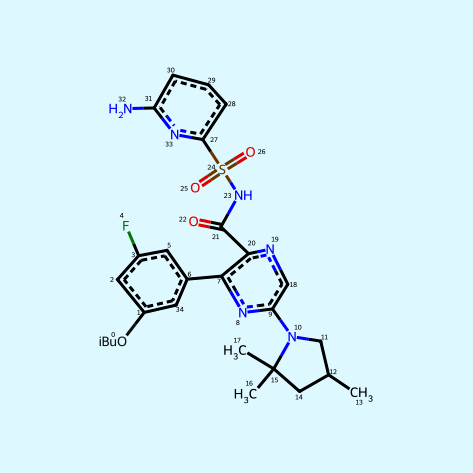 CC(C)COc1cc(F)cc(-c2nc(N3CC(C)CC3(C)C)cnc2C(=O)NS(=O)(=O)c2cccc(N)n2)c1